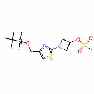 CC(C)(C)[Si](C)(C)OCc1csc(N2CC(OS(C)(=O)=O)C2)n1